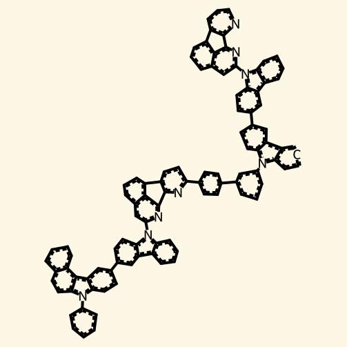 c1ccc(-n2c3ccc(-c4ccc5c(c4)c4ccccc4n5-c4cc5cccc6c5c(n4)-c4nc(-c5ccc(-c7cccc(-n8c9ccccc9c9cc(-c%10ccc%11c(c%10)c%10ccccc%10n%11-c%10cc%11cccc%12c%11c(n%10)-c%10ncccc%10-%12)ccc98)c7)cc5)ccc4-6)cc3c3c4ccccc4ccc32)cc1